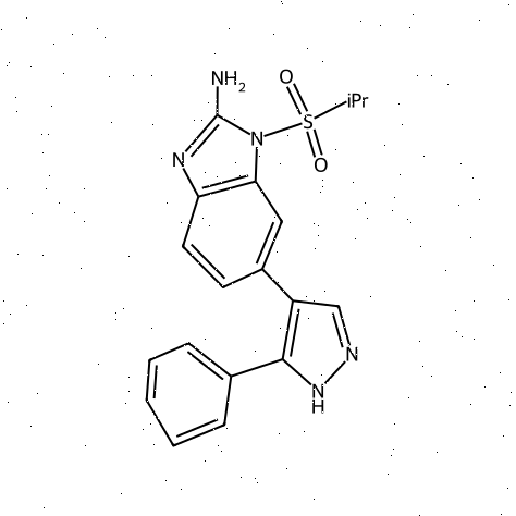 CC(C)S(=O)(=O)n1c(N)nc2ccc(-c3cn[nH]c3-c3ccccc3)cc21